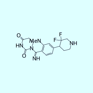 CNc1cc(C2CCNCC2(F)F)ccc1C(=N)N1CCC(=O)NC1=O